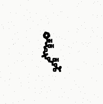 C=C(C)C(=O)OCC(O)COCC(C)(C)COCC(O)CNc1ccccc1